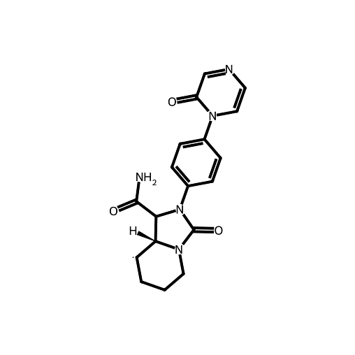 NC(=O)C1[C@H]2[CH]CCCN2C(=O)N1c1ccc(-n2ccncc2=O)cc1